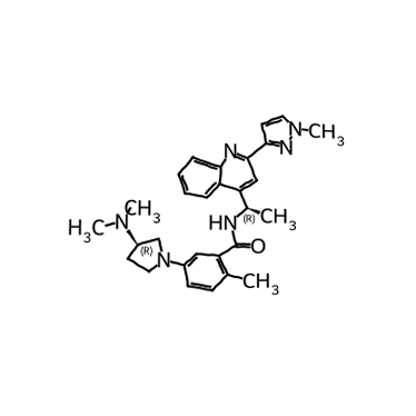 Cc1ccc(N2CC[C@@H](N(C)C)C2)cc1C(=O)N[C@H](C)c1cc(-c2ccn(C)n2)nc2ccccc12